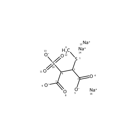 CSC(C(=O)[O-])C(C(=O)[O-])S(=O)(=O)[O-].[Na+].[Na+].[Na+]